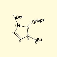 CCCCCCCCCCN1C=CN(CCCC)C1CCCCCCC